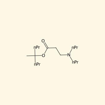 CCCN(CCC)CCC(=O)OC(C)(CCC)CCC